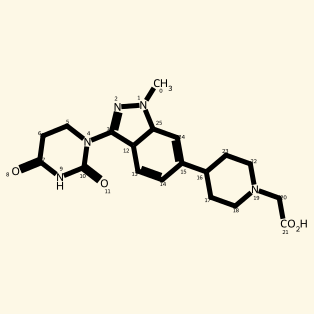 CN1N=C(N2CCC(=O)NC2=O)C2C=CC(C3CCN(CC(=O)O)CC3)=CC21